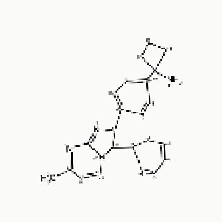 CC1=NC2=NC(c3ccc(C4(N)CCC4)cc3)C(C3C=CC=CC3)N2C=C1